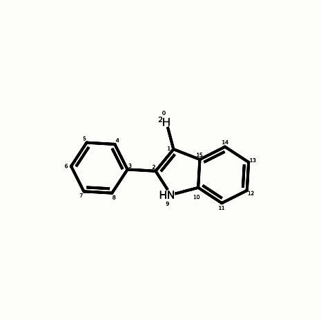 [2H]c1c(-c2ccccc2)[nH]c2ccccc12